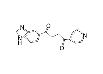 O=C(CCC(=O)c1ccc2[nH]cnc2c1)c1ccncc1